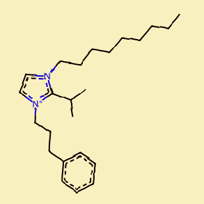 CCCCCCCCCn1cc[n+](CCCc2ccccc2)c1C(C)C